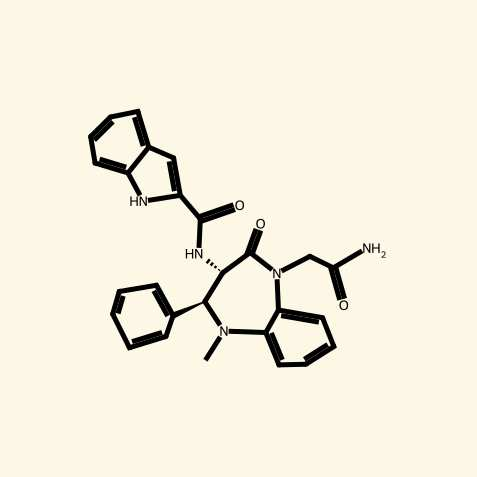 CN1c2ccccc2N(CC(N)=O)C(=O)[C@@H](NC(=O)c2cc3ccccc3[nH]2)[C@@H]1c1ccccc1